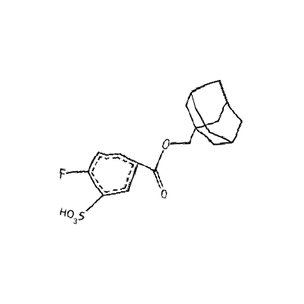 O=C(OCC12CC3CC(CC(C3)C1)C2)c1ccc(F)c(S(=O)(=O)O)c1